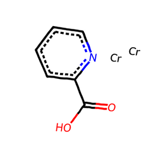 O=C(O)c1ccccn1.[Cr].[Cr]